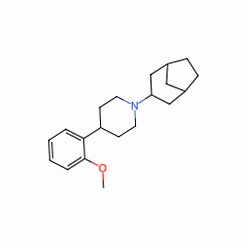 COc1ccccc1C1CCN(C2CC3CCC(C3)C2)CC1